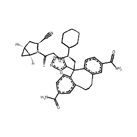 N#C[C@@H]1C[C@@H]2C[C@@H]2N1C(=O)CN[C@H](CC1(c2nnn[nH]2)c2ccc(C(N)=O)cc2CCc2cc(C(N)=O)ccc21)C1CCCCC1